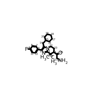 CC1(C)c2nc(-c3ccc(F)cc3)c(CC3CCCCC3)n2CCC1C(=O)CN